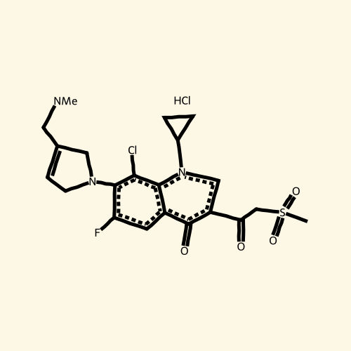 CNCC1=CCN(c2c(F)cc3c(=O)c(C(=O)CS(C)(=O)=O)cn(C4CC4)c3c2Cl)C1.Cl